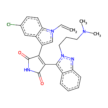 C=Cn1cc(C2=C(c3c4ccccc4nn3CCCN(C)C)C(=O)NC2=O)c2cc(Cl)ccc21